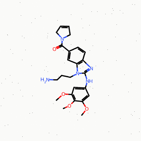 COc1cc(Nc2nc3ccc(C(=O)N4CC=CC4)cc3n2CCCN)cc(OC)c1OC